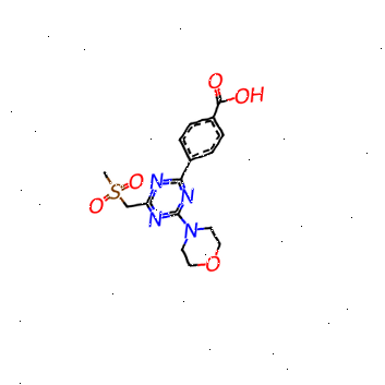 CS(=O)(=O)Cc1nc(-c2ccc(C(=O)O)cc2)nc(N2CCOCC2)n1